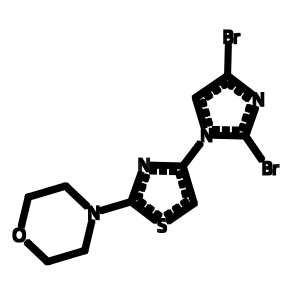 Brc1cn(-c2csc(N3CCOCC3)n2)c(Br)n1